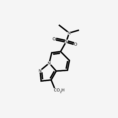 CN(C)S(=O)(=O)c1ccc2c(C(=O)O)cnn2c1